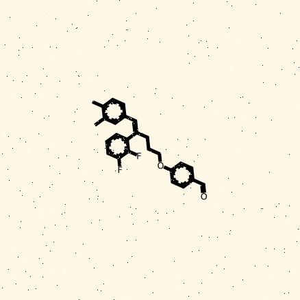 Cc1ccc(/C=C(/CCCOc2ccc(C=O)cc2)c2cccc(F)c2F)cc1C